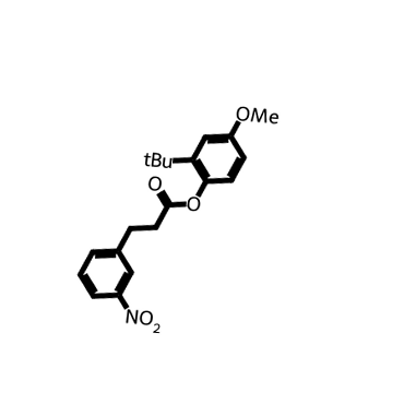 COc1ccc(OC(=O)CCc2cccc([N+](=O)[O-])c2)c(C(C)(C)C)c1